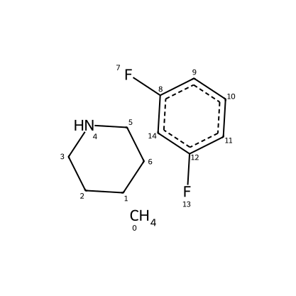 C.C1CCNCC1.Fc1cccc(F)c1